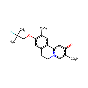 COc1cc2c(cc1OCC(C)(C)F)CCn1cc(C(=O)O)c(=O)cc1-2